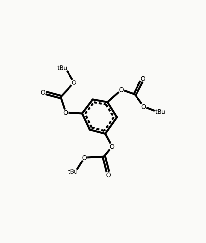 CC(C)(C)OC(=O)Oc1cc(OC(=O)OC(C)(C)C)cc(OC(=O)OC(C)(C)C)c1